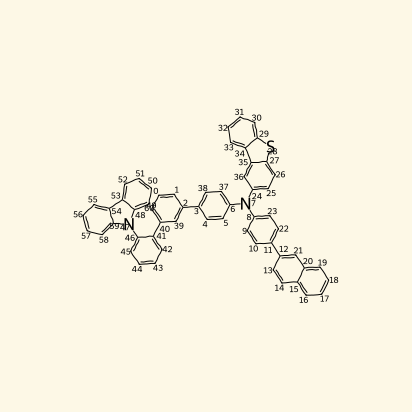 c1cc(-c2ccc(N(c3ccc(-c4ccc5ccccc5c4)cc3)c3ccc4sc5ccccc5c4c3)cc2)cc(-c2ccccc2-n2c3ccccc3c3ccccc32)c1